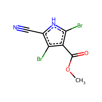 COC(=O)c1c(Br)[nH]c(C#N)c1Br